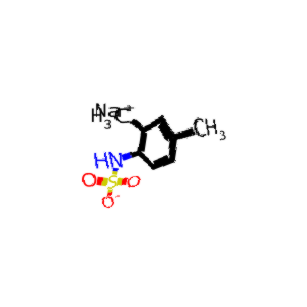 Cc1ccc(NS(=O)(=O)[O-])c(C)c1.[Na+]